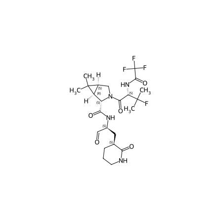 CC(C)(F)[C@@H](NC(=O)C(F)(F)F)C(=O)N1C[C@H]2[C@@H]([C@H]1C(=O)N[C@H](C=O)C[C@@H]1CCCNC1=O)C2(C)C